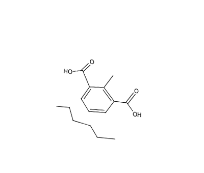 CCCCCC.Cc1c(C(=O)O)cccc1C(=O)O